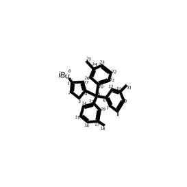 CCC(C)C1=CCC(C(c2cccc(C)c2)(c2cccc(C)c2)c2cccc(C)c2)=C1